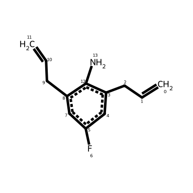 C=CCc1cc(F)cc(CC=C)c1N